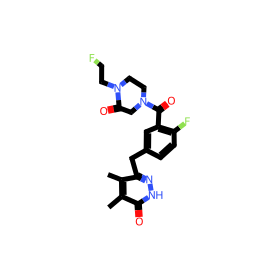 Cc1c(Cc2ccc(F)c(C(=O)N3CCN(CCF)C(=O)C3)c2)n[nH]c(=O)c1C